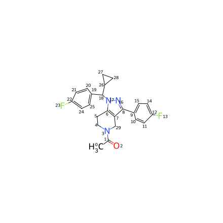 CC(=O)N1CCc2c(c(-c3ccc(F)cc3)nn2C(c2ccc(F)cc2)C2CC2)C1